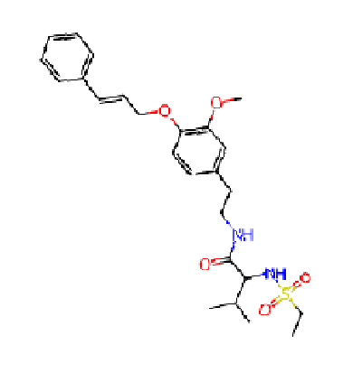 CCS(=O)(=O)NC(C(=O)NCCc1ccc(OCC=Cc2ccccc2)c(OC)c1)C(C)C